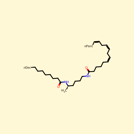 CCCCC/C=C\C/C=C\C/C=C\CCCCC(=O)NCCCC[C@@H](C)NC(=O)CCCCCCCCCCCCCCCCC